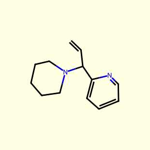 C=CC(c1ccccn1)N1CCCCC1